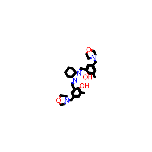 Cc1cc(CN2CCOCC2)cc(/C=N/[C@@H]2CCCC[C@H]2/N=C/c2cc(CN3CCOCC3)cc(C)c2O)c1O